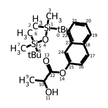 CC(C)(C)[Si](C)(C)O[Si](C)(C)C(C)(C)C.CC(O)C(=O)Oc1ccc2ccccc2c1